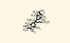 C=C(C)C(=O)N1C(C)(C)CC(C(CCCC(=O)O)(C(=O)O)C2CC(C)(C)N(C(=O)C(=C)C)C(C)(C)C2)CC1(C)C